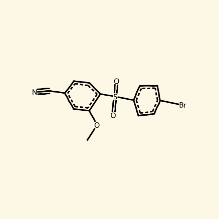 COc1cc(C#N)ccc1S(=O)(=O)c1ccc(Br)cc1